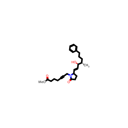 COC(=O)CCCC#CCN1C(=O)CCC1C=C[C@@H](O)[C@@H](C)CCCc1ccccc1